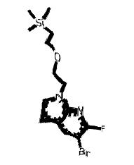 C[Si](C)(C)CCOCCn1ccc2cc(Br)c(F)nc21